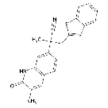 Cc1cc2ccc(C(C)(C#N)Cc3cc4ccccc4s3)cc2[nH]c1=O